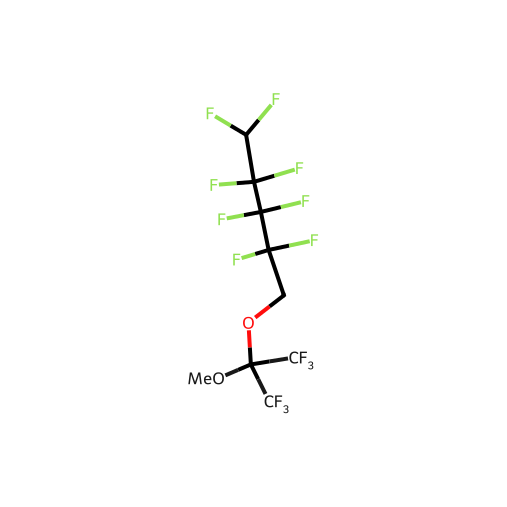 COC(OCC(F)(F)C(F)(F)C(F)(F)C(F)F)(C(F)(F)F)C(F)(F)F